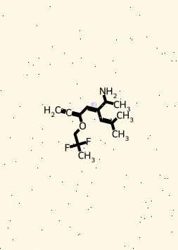 C=C=C(/C=C(\C=C(C)C)C(C)N)OCC(C)(F)F